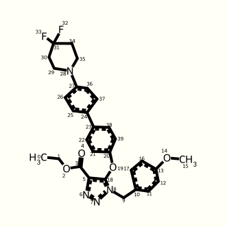 CCOC(=O)c1nnn(Cc2ccc(OC)cc2)c1Oc1ccc(-c2ccc(N3CCC(F)(F)CC3)cc2)cc1